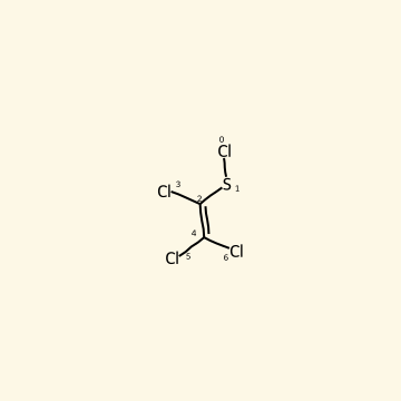 ClSC(Cl)=C(Cl)Cl